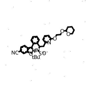 CC(C)(C)[S@+]([O-])NC(Cc1cccc(OCCOC2CCCCO2)n1)c1ccccc1-c1noc2cc(C#N)ccc12